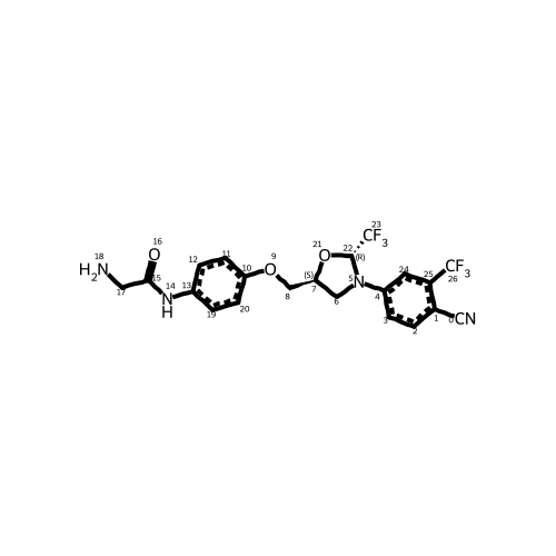 N#Cc1ccc(N2C[C@@H](COc3ccc(NC(=O)CN)cc3)O[C@@H]2C(F)(F)F)cc1C(F)(F)F